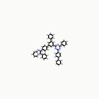 c1ccc(-c2ccc(-c3nc(-c4ccccc4)nc(-c4cc(-c5ccccc5)cc(-c5ccc(-c6nc7ccccn7c6-c6ccccc6)cc5)c4)n3)cc2)cc1